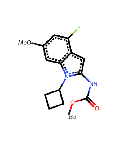 COc1cc(F)c2cc(NC(=O)OC(C)(C)C)n(C3CCC3)c2c1